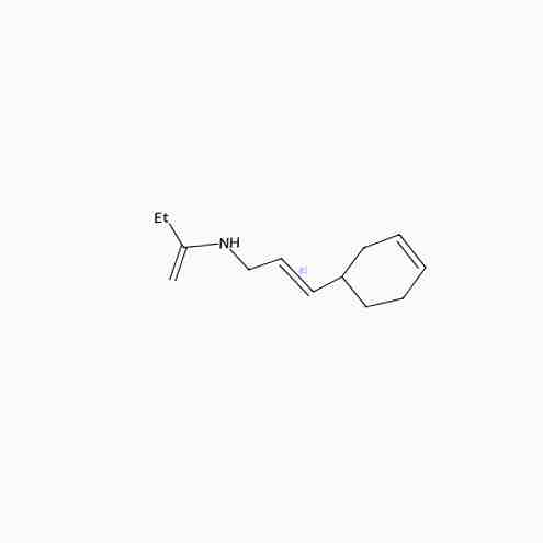 C=C(CC)NC/C=C/C1CC=CCC1